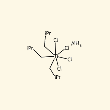 CC(C)[CH2][Ti]([Cl])([Cl])([Cl])([Cl])([CH2]C(C)C)[CH2]C(C)C.[AlH3]